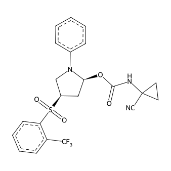 N#CC1(NC(=O)O[C@H]2C[C@@H](S(=O)(=O)c3ccccc3C(F)(F)F)CN2c2ccccc2)CC1